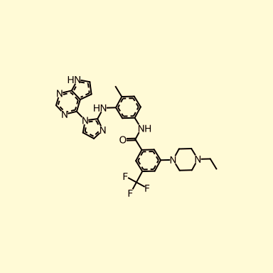 CCN1CCN(c2cc(C(=O)Nc3ccc(C)c(Nc4nccn4-c4ncnc5[nH]ccc45)c3)cc(C(F)(F)F)c2)CC1